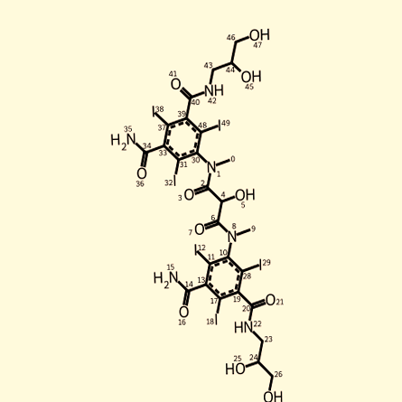 CN(C(=O)C(O)C(=O)N(C)c1c(I)c(C(N)=O)c(I)c(C(=O)NCC(O)CO)c1I)c1c(I)c(C(N)=O)c(I)c(C(=O)NCC(O)CO)c1I